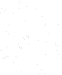 CC(C(=O)O)(C(=O)O)c1ccnc(OCCl)n1